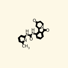 Cc1cccc(NC(=O)Nc2cccc3c2C2CC(=O)CCN2C3=O)n1